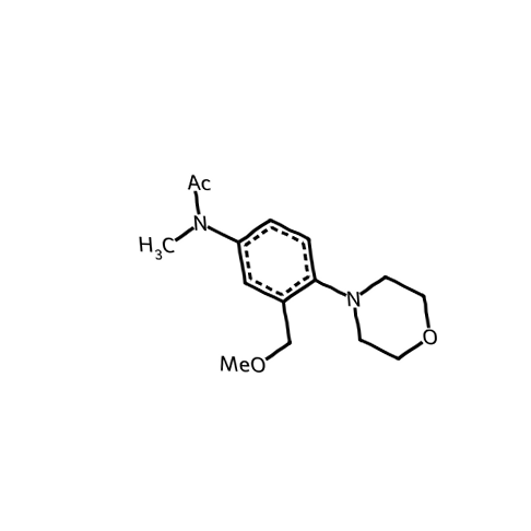 COCc1cc(N(C)C(C)=O)ccc1N1CCOCC1